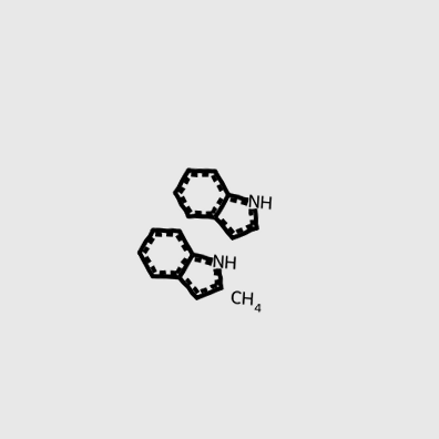 C.c1ccc2[nH]ccc2c1.c1ccc2[nH]ccc2c1